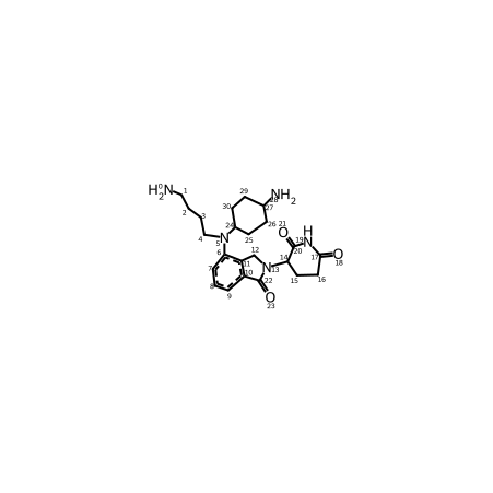 NCCCCN(c1cccc2c1CN(C1CCC(=O)NC1=O)C2=O)C1CCC(N)CC1